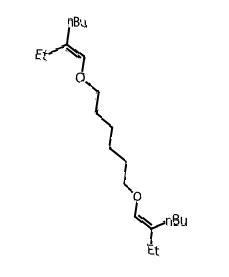 CCCCC(=COCCCCCCOC=C(CC)CCCC)CC